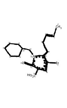 C/C=C/CCc1c(CC)cc(C(=O)O)c(=O)n1CC1CCCCC1